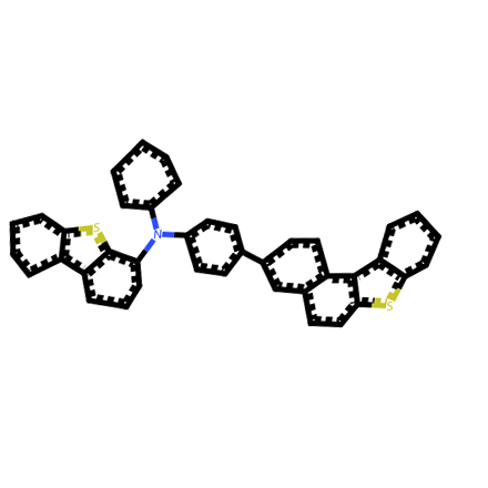 c1ccc(N(c2ccc(-c3ccc4c(ccc5sc6ccccc6c54)c3)cc2)c2cccc3c2sc2ccccc23)cc1